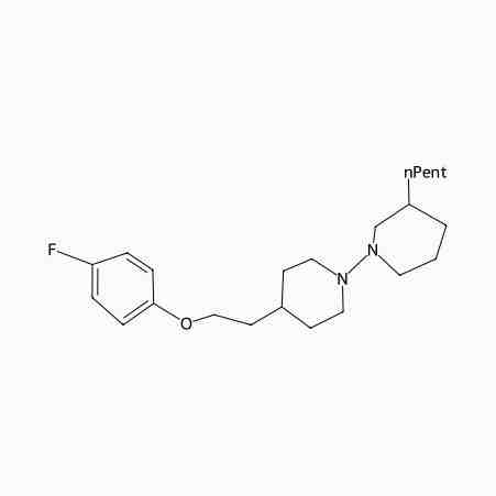 CCCCCC1CCCN(N2CCC(CCOc3ccc(F)cc3)CC2)C1